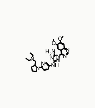 CCN(CC)CC1CCCN1c1ccc(Nc2nc(N)n(-c3ncnc4cc(OC)c(OC)cc34)n2)cn1